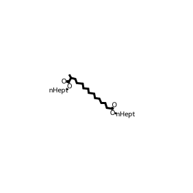 CCCCCCCOC(=O)CCCCCCCCCCCCC(C)C(=O)OCCCCCCC